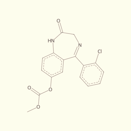 COC(=O)Oc1ccc2c(c1)C(c1ccccc1Cl)=NCC(=O)N2